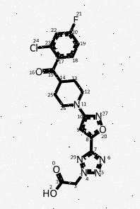 O=C(O)Cn1nnc(-c2cc(N3CCC(C(=O)c4ccc(F)cc4Cl)CC3)no2)n1